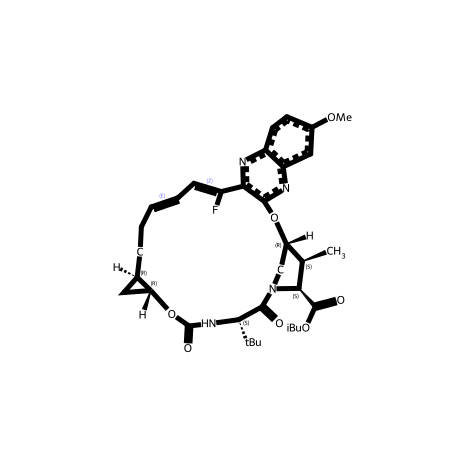 COc1ccc2nc3c(nc2c1)O[C@H]1CN(C(=O)[C@H](C(C)(C)C)NC(=O)O[C@@H]2C[C@H]2CC/C=C/C=C/3F)[C@H](C(=O)OCC(C)C)[C@@H]1C